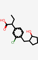 CCC(C(=O)O)c1ccc(CC2CCCC2O)c(Cl)c1